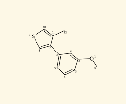 COc1cccc(-c2cs[c]c2C)c1